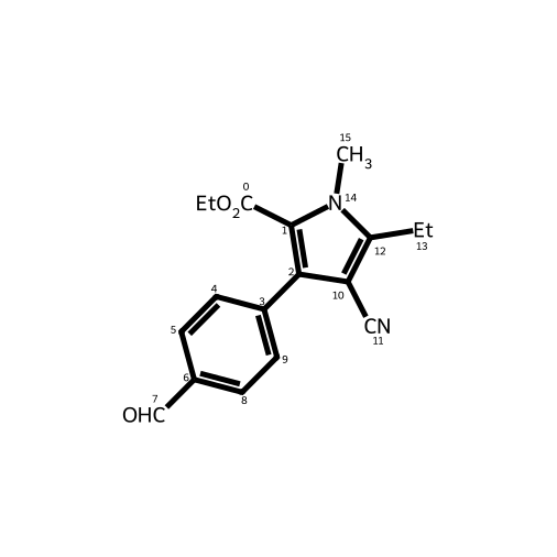 CCOC(=O)c1c(-c2ccc(C=O)cc2)c(C#N)c(CC)n1C